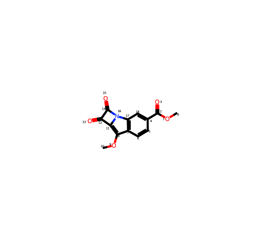 COC(=O)c1ccc2c(OC)c3c(=O)c(=O)n3c2c1